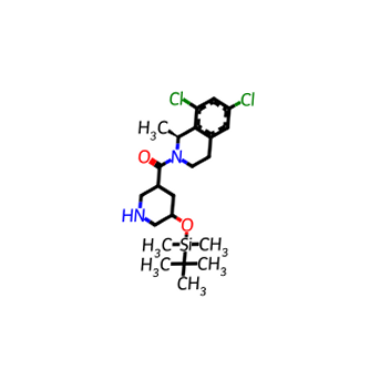 C[C@H]1c2c(Cl)cc(Cl)cc2CCN1C(=O)C1CNCC(O[Si](C)(C)C(C)(C)C)C1